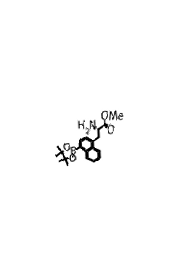 COC(=O)[C@@H](N)Cc1ccc(B2OC(C)(C)C(C)(C)O2)c2ccccc12